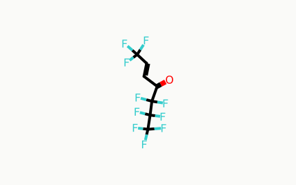 O=C(/C=C/C(F)(F)F)C(F)(F)C(F)(F)C(F)(F)F